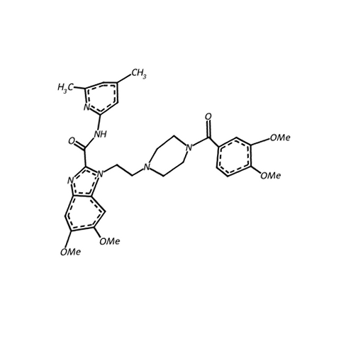 COc1ccc(C(=O)N2CCN(CCn3c(C(=O)Nc4cc(C)cc(C)n4)nc4cc(OC)c(OC)cc43)CC2)cc1OC